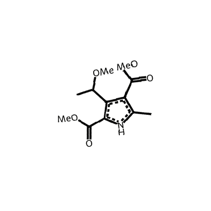 COC(=O)c1[nH]c(C)c(C(=O)OC)c1C(C)OC